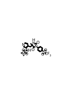 CN(C)S(=O)(=O)Nc1cnccc1CC1(C)NC(=O)N(c2ccc(S(=O)(=O)C(F)(F)F)cc2)C1=O